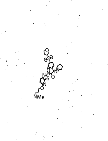 CNCCCOc1ccc2nc(NC(=O)/C(=N/N3CCCC3)c3ccc(S(=O)(=O)[C@H]4CCOC4)cc3)sc2n1